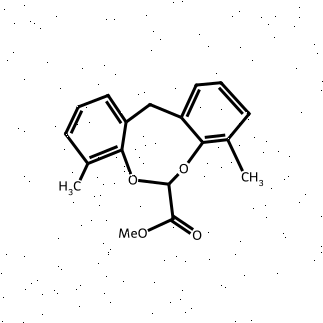 COC(=O)C1Oc2c(C)cccc2Cc2cccc(C)c2O1